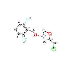 Fc1cccc(F)c1COC1COC(CCl)C1